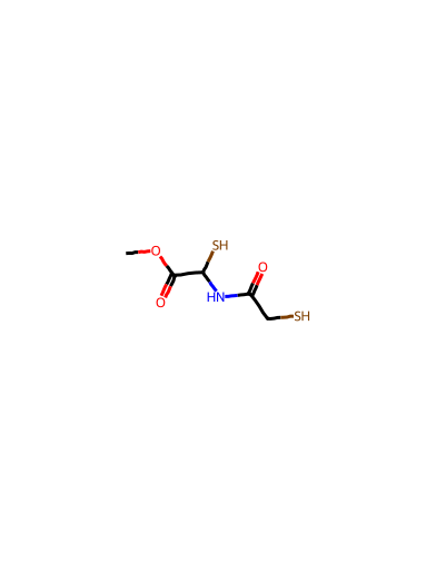 COC(=O)C(S)NC(=O)CS